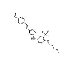 CCCCCOc1ccc(Nc2nc(C=Cc3ccc(OC)cc3)cs2)cc1C(F)(F)F